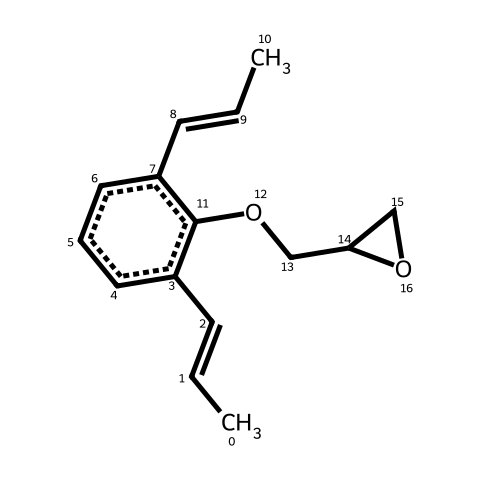 CC=Cc1cccc(C=CC)c1OCC1CO1